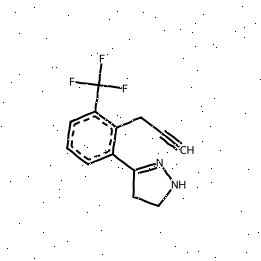 C#CCc1c(C2=NNCC2)cccc1C(F)(F)F